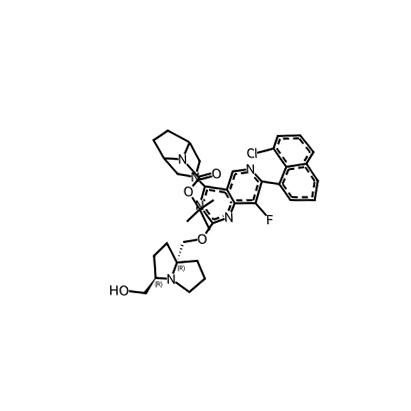 CC(C)(C)OC(=O)N1C2CCC1CN(c1nc(OC[C@]34CCCN3[C@@H](CO)CC4)nc3c(F)c(-c4cccc5cccc(Cl)c45)ncc13)C2